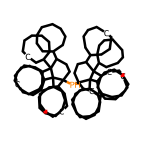 C1CCCCC(C2CCC(PC3(C4CCCCCCCC4)CCC(C4CCCCCCCC4)C(C4CCCCCCCC4)(C4CCCCCCCC4)C3(C3CCCCCCCC3)C3CCCCCCCC3)(C3CCCCCCCC3)C(C3CCCCCCCC3)(C3CCCCCCCC3)C2(C2CCCCCCCC2)C2CCCCCCCC2)CCC1